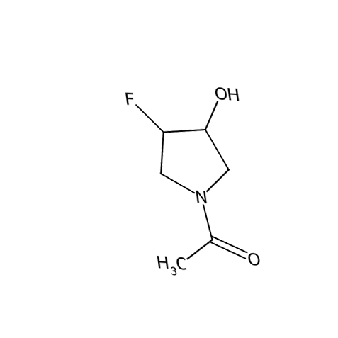 CC(=O)N1CC(O)C(F)C1